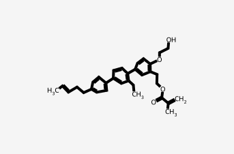 C=C(C)C(=O)OCCc1cc(-c2ccc(-c3ccc(CC/C=C/C)cc3)cc2CC)ccc1OCCO